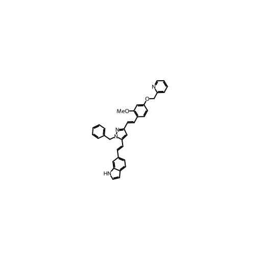 COc1cc(OCc2ccccn2)ccc1C=Cc1cc(C=Cc2ccc3cc[nH]c3c2)n(Cc2ccccc2)n1